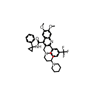 COc1cc2nc(-c3cccc(C(F)(F)F)c3)c(CN3CCC(N4CCCCC4)CC3)c(C(=O)NC3(c4ccccc4)CC3)c2cc1OC